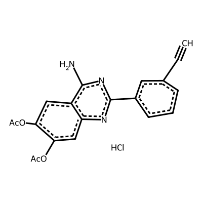 C#Cc1cccc(-c2nc(N)c3cc(OC(C)=O)c(OC(C)=O)cc3n2)c1.Cl